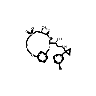 C[C@@H]1CS(=O)(=O)CCCCOc2cccc(c2)C[C@@H]([C@H](O)CNC2(c3cccc(Br)c3)CC2)NC1=O